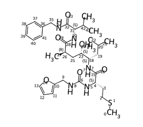 CSCC[C@H](NC(=O)NCc1ccco1)C(=O)N[C@@H](CC(C)C)[C@@H](O)C[C@@H](C)C(=O)N[C@H](C(=O)NCc1ccccc1)C(C)C